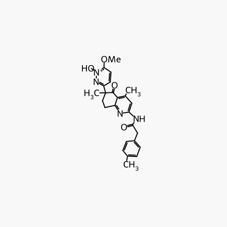 COc1ccc(C2(C)CCc3nc(NC(=O)Cc4ccc(C)cc4)cc(C)c3C2=O)n[n+]1O